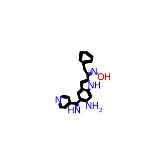 N=C(c1ccncc1)c1cc2cc(/C(Cc3ccccc3)=N\O)[nH]c2cc1N